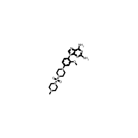 COc1cc(N2CCN(S(=O)(=O)N3CCN(C)CC3)CC2)ccc1-n1cnc2c(N)nc(N)nc21